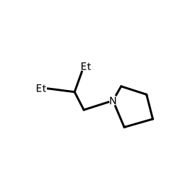 CCC(CC)CN1CCCC1